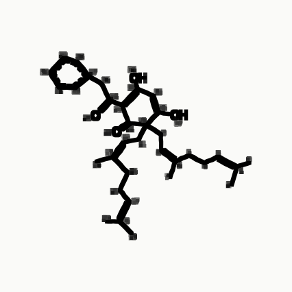 CC(C)=CCCC(C)=CCC1(CC=C(C)CCC=C(C)C)C(=O)C(C(=O)Cc2ccccc2)=C(O)C=C1O